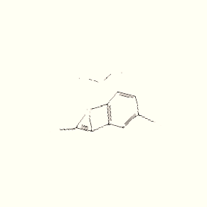 CC(C)(C)OC=O.Cc1c2c3cc(Br)ccc3n1-2